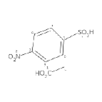 CC(=O)O.O=[N+]([O-])c1ccc(S(=O)(=O)O)cc1